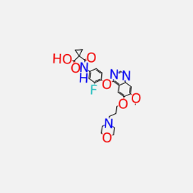 COc1cc2ncnc(Oc3ccc(NC(=O)C4(C(=O)O)CC4)cc3F)c2cc1OCCCN1CCOCC1